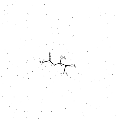 CC(C)C(C)SC(N)=S